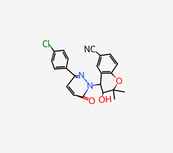 CC1(C)Oc2ccc(C#N)cc2C(n2nc(-c3ccc(Cl)cc3)ccc2=O)C1O